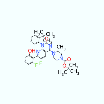 CC1CN(C(=O)OC(C)(C)C)CCN1c1nc(=O)n(-c2ccccc2C(C)(C)C)c2nc(-c3c(O)cccc3F)c(F)cc12